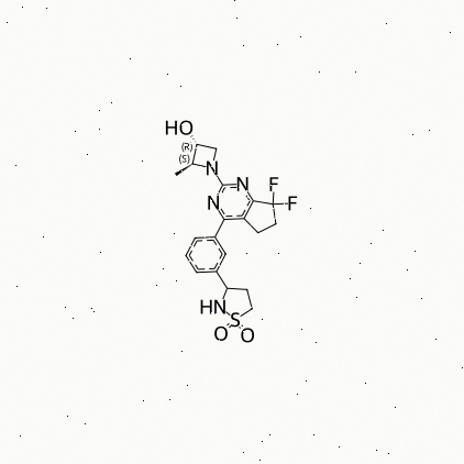 C[C@H]1[C@H](O)CN1c1nc(-c2cccc(C3CCS(=O)(=O)N3)c2)c2c(n1)C(F)(F)CC2